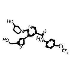 O=C(Nc1ccc(OC(F)(F)F)cc1)c1cnc(N2CCC(O)C2)c(-c2csc(CO)c2)c1